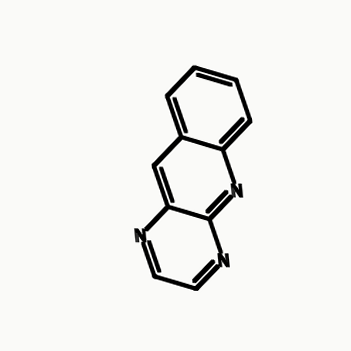 c1ccc2nc3nccnc3cc2c1